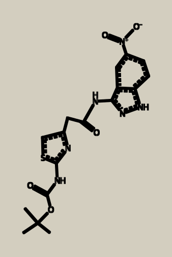 CC(C)(C)OC(=O)Nc1nc(CC(=O)Nc2n[nH]c3ccc([N+](=O)[O-])cc23)cs1